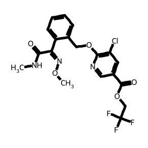 CNC(=O)C(=NOC)c1ccccc1COc1ncc(C(=O)OCC(F)(F)F)cc1Cl